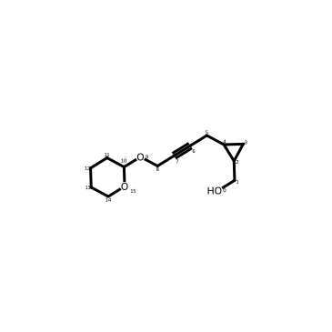 OCC1CC1CC#CCOC1CCCCO1